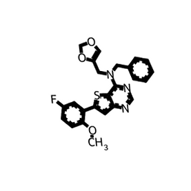 COc1ccc(F)cc1-c1cc2ncnc(N(CC3=COCO3)Cc3ccccc3)c2s1